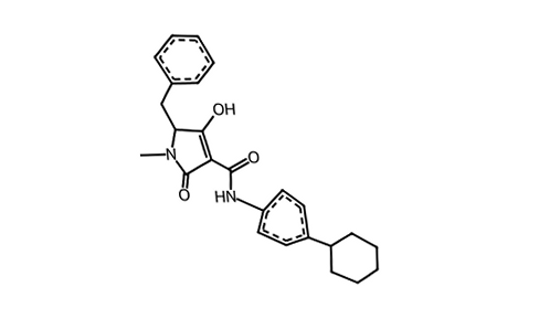 CN1C(=O)C(C(=O)Nc2ccc(C3CCCCC3)cc2)=C(O)C1Cc1ccccc1